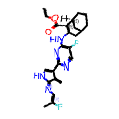 C=C1C(c2ncc(F)c(NC3CC4CCC[C@@H](C4)[C@@H]3C(=O)OCC)n2)=CN/C1=N/C=C(\C)F